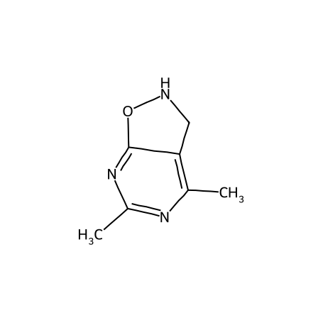 Cc1nc(C)c2c(n1)ONC2